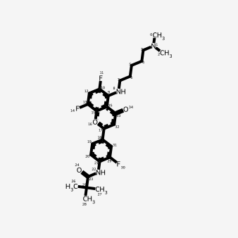 CN(C)CCCCCNc1c(F)cc(F)c2oc(-c3ccc(NC(=O)C(C)(C)C)c(F)c3)cc(=O)c12